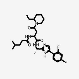 CCC1CCCCN1C(=O)CC(NC(=O)CCC(C)C)C(=O)N[C@@H](C)c1ncc(-c2ccc(F)cc2F)[nH]1